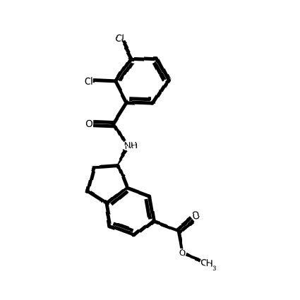 COC(=O)c1ccc2c(c1)[C@H](NC(=O)c1cccc(Cl)c1Cl)CC2